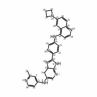 Cc1cc(NC2=CN=C3NC(c4ccc(Nc5ccnc6ccc(N7CCC7)cc56)cn4)=NC3C2)ccn1